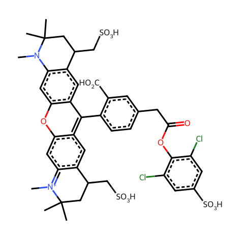 CN1c2cc3c(cc2C(CS(=O)(=O)O)CC1(C)C)C(c1ccc(CC(=O)Oc2c(Cl)cc(S(=O)(=O)O)cc2Cl)cc1C(=O)O)=c1cc2c(cc1O3)=[N+](C)C(C)(C)CC2CS(=O)(=O)O